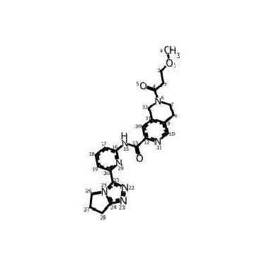 COCCC(=O)N1CCc2cnc(C(=O)Nc3cccc(-c4nnc5n4CCC5)n3)cc2C1